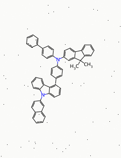 CC1(C)c2ccccc2-c2ccc(N(c3ccc(-c4ccccc4)cc3)c3ccc(-c4cccc5c4c4ccccc4n5-c4ccc5ccccc5c4)cc3)cc21